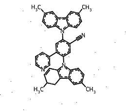 Cc1ccc2c(c1)c1c(n2-c2cc(C#N)c(-n3c4ccc(C)cc4c4cc(C)ccc43)cc2-c2cccnc2)C=CC(C)C1